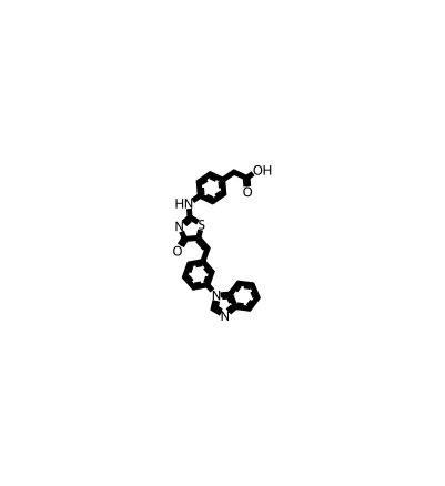 O=C(O)Cc1ccc(NC2=NC(=O)/C(=C\c3cccc(-n4cnc5ccccc54)c3)S2)cc1